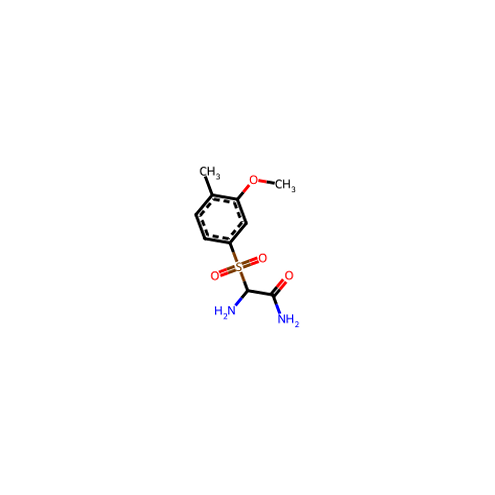 COc1cc(S(=O)(=O)C(N)C(N)=O)ccc1C